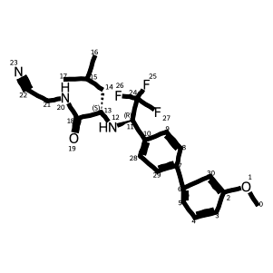 COc1cccc(-c2ccc([C@@H](N[C@@H](CC(C)C)C(=O)NCC#N)C(F)(F)F)cc2)c1